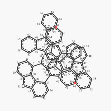 c1ccc(-c2nc(-c3cccc4oc5cccc(-c6ccc7c8ccccc8n(-c8ccccc8)c7c6)c5c34)nc(-c3cccc4oc5cccc(-c6ccc7c8ccccc8n(-c8ccccc8)c7c6)c5c34)n2)cc1